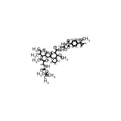 CCC(C)C(C(CC(=O)N1CCCC1C(OC)C(C)C(=O)NCC(=O)NS(=O)(=O)c1ccc(C2(NC)CC2)cc1)OC)N(C)C(=O)CNC(=O)OC(C)(C)C